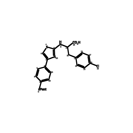 CCCCCc1ccc(-c2csc(NC(Cc3ccc(Cl)cc3)C(=O)O)n2)cc1